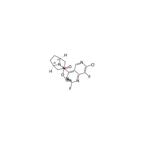 CC(C)(C)OC(=O)N1[C@@H]2CC[C@H]1CN(c1nc(F)nc3c(F)c(Cl)ncc13)C2